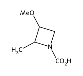 COC1CN(C(=O)O)C1C